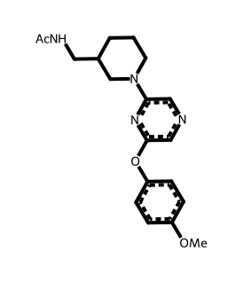 COc1ccc(Oc2cncc(N3CCCC(CNC(C)=O)C3)n2)cc1